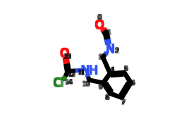 O=C=NCc1ccccc1CNC(=O)Cl